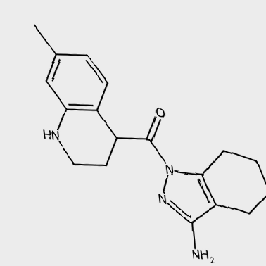 Cc1ccc2c(c1)NCCC2C(=O)n1nc(N)c2c1CCCC2